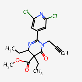 C#CCN1C(=O)C(CC)(C(=O)OC)C(CC)N=C1c1cc(Cl)nc(Cl)c1